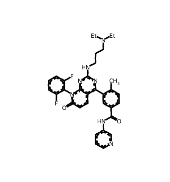 CCN(CC)CCCNc1nc(-c2cc(C(=O)Nc3cccnc3)ccc2C)c2ccc(=O)n(-c3c(F)cccc3F)c2n1